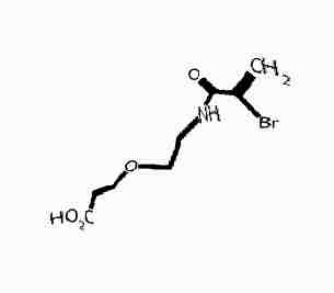 C=C(Br)C(=O)NCCOCCC(=O)O